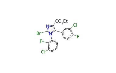 CCOC(=O)c1nc(Br)n(-c2cccc(Cl)c2F)c1-c1ccc(F)c(Cl)c1